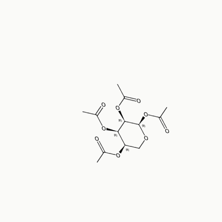 CC(=O)O[C@H]1OC[C@@H](OC(C)=O)[C@@H](OC(C)=O)[C@H]1OC(C)=O